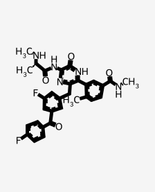 CNC(=O)c1ccc(C)c(-c2[nH]c(=O)c(NC(=O)[C@H](C)NC)nc2Cc2cc(F)cc(C(=O)c3ccc(F)cc3)c2)c1